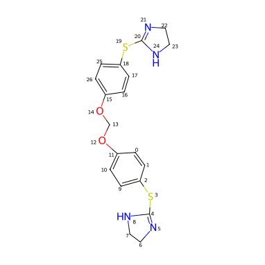 c1cc(SC2=NCCN2)ccc1OCOc1ccc(SC2=NCCN2)cc1